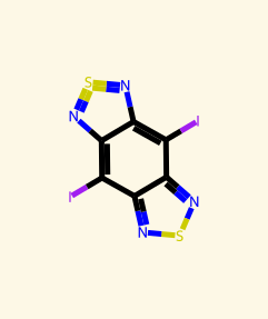 Ic1c2c(c(I)c3nsnc13)N=S=N2